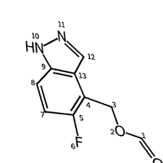 O=COCc1c(F)ccc2[nH]ncc12